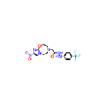 O=C(CN1CCOc2nc([N+](=O)[O-])cn2CC1)NNc1ccc(C(F)(F)F)cc1